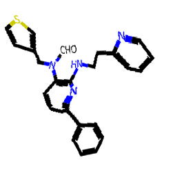 O=CN(Cc1ccsc1)c1ccc(-c2ccccc2)nc1NCCc1ccccn1